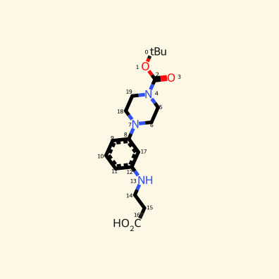 CC(C)(C)OC(=O)N1CCN(c2cccc(NCCC(=O)O)c2)CC1